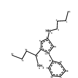 CCCCNc1cc(C(N)CCC)n(-c2ccccc2)c1